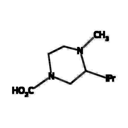 CC(C)C1CN(C(=O)O)CCN1C